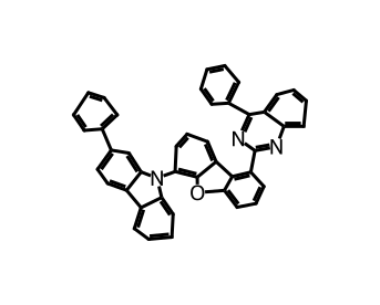 c1ccc(-c2ccc3c4ccccc4n(-c4cccc5c4oc4cccc(-c6nc(-c7ccccc7)c7ccccc7n6)c45)c3c2)cc1